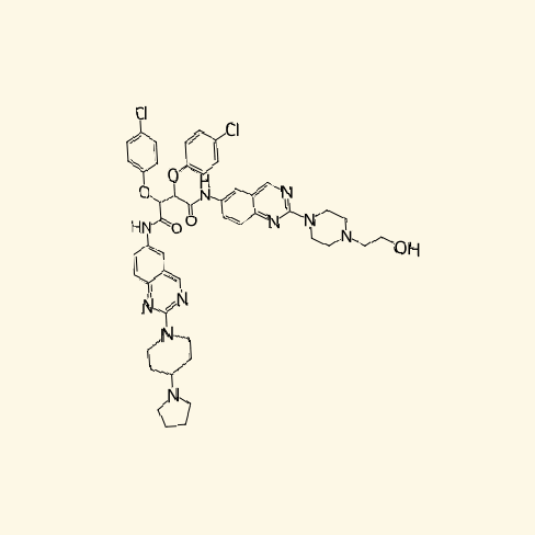 O=C(Nc1ccc2nc(N3CCC(N4CCCC4)CC3)ncc2c1)C(Oc1ccc(Cl)cc1)C(Oc1ccc(Cl)cc1)C(=O)Nc1ccc2nc(N3CCN(CCO)CC3)ncc2c1